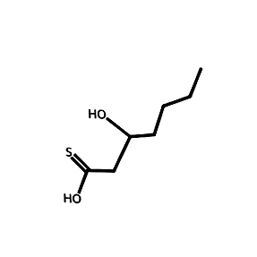 CCCCC(O)CC(O)=S